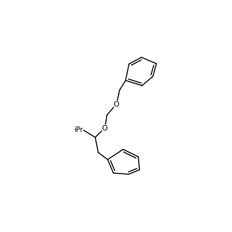 CC(C)C(Cc1ccccc1)OCOCc1ccccc1